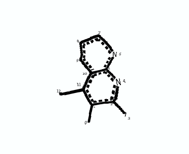 Cc1c(I)nc2ncccc2c1C